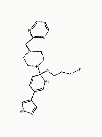 CC(C)OCCOC1(N2CCN(Cc3ncccn3)CC2)C=CC(c2cn[nH]c2)=CN1